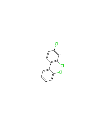 Clc1[c]c(Cl)c(-c2ccccc2Cl)cc1